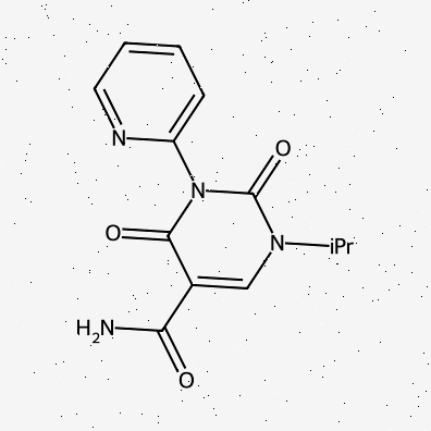 CC(C)n1cc(C(N)=O)c(=O)n(-c2ccccn2)c1=O